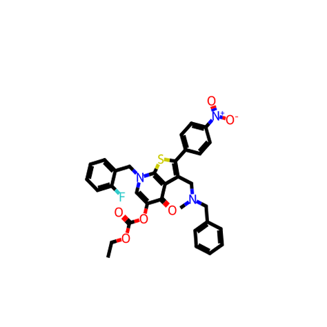 CCOC(=O)Oc1cn(Cc2ccccc2F)c2sc(-c3ccc([N+](=O)[O-])cc3)c(CN(C)Cc3ccccc3)c2c1=O